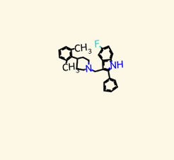 Cc1cccc(C)c1C1CCN(Cc2c(-c3ccccc3)[nH]c3ccc(F)cc23)CC1